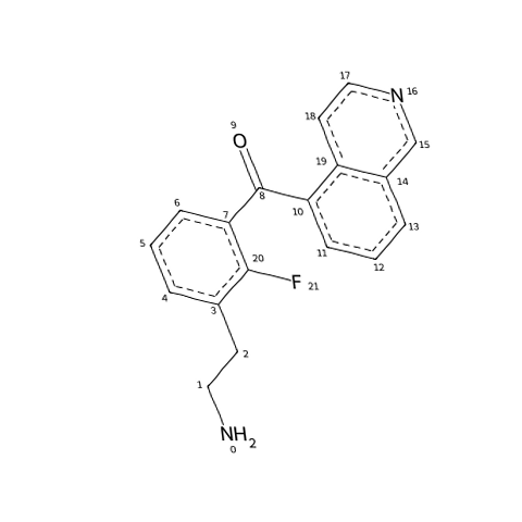 NCCc1cccc(C(=O)c2cccc3cnccc23)c1F